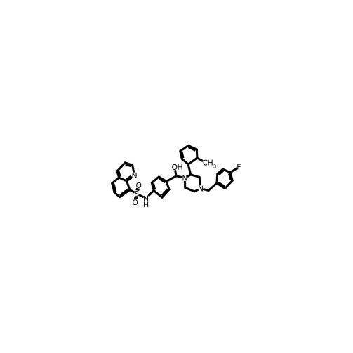 CC1C=CC=CC1C1CN(Cc2ccc(F)cc2)CCN1C(O)c1ccc(NS(=O)(=O)c2cccc3cccnc23)cc1